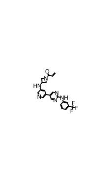 C=CC(=O)N1CC(Nc2cncc(-c3cnc(Nc4cccc(C(F)(F)F)c4)nc3)c2)C1